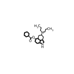 CCCN(CCC)C1Cc2c[nH]c3ccc(OC(=O)c4ccccc4)c(c23)C1